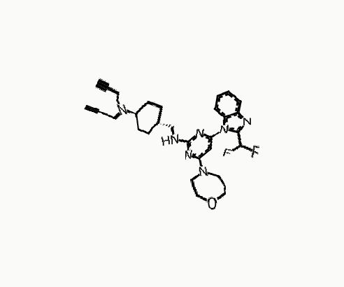 C#CCN(CC#C)[C@H]1CC[C@H](CNc2nc(N3CCOCC3)cc(-n3c(C(F)F)nc4ccccc43)n2)CC1